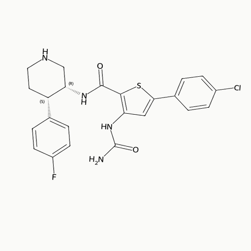 NC(=O)Nc1cc(-c2ccc(Cl)cc2)sc1C(=O)N[C@H]1CNCC[C@H]1c1ccc(F)cc1